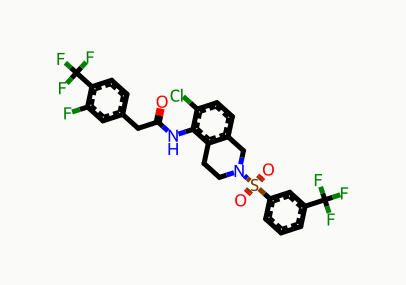 O=C(Cc1ccc(C(F)(F)F)c(F)c1)Nc1c(Cl)ccc2c1CCN(S(=O)(=O)c1cccc(C(F)(F)F)c1)C2